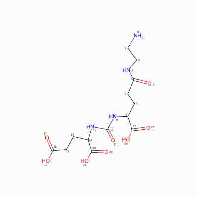 NCCNC(=O)CCC(NC(=O)NC(CCC(=O)O)C(=O)O)C(=O)O